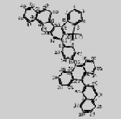 CC1(C)c2ccccc2-c2c1c(-c1ccc(-c3c4ccccc4c(-c4ccc5ccccc5c4)c4ccccc34)cc1)cc1sc3c4ccccc4ccc3c21